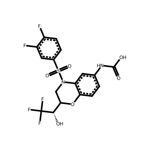 O=C(O)Nc1ccc2c(c1)N(S(=O)(=O)c1ccc(F)c(F)c1)CC([C@H](O)C(F)(F)F)O2